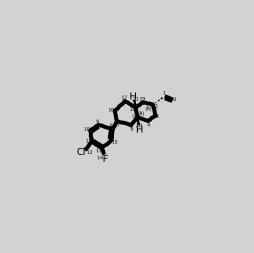 C=C[C@@H]1CC[C@@H]2CC(c3ccc(Cl)c(F)c3)CC[C@@H]2C1